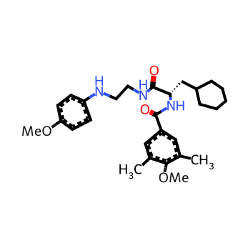 COc1ccc(NCCNC(=O)[C@H](CC2CCCCC2)NC(=O)c2cc(C)c(OC)c(C)c2)cc1